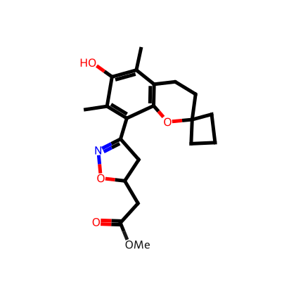 COC(=O)CC1CC(c2c(C)c(O)c(C)c3c2OC2(CCC2)CC3)=NO1